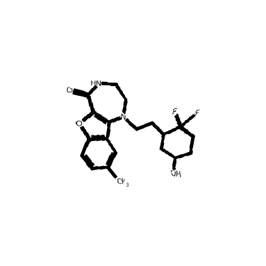 O=C1NCCN(CCC2CC(O)CCC2(F)F)c2c1oc1ccc(C(F)(F)F)cc21